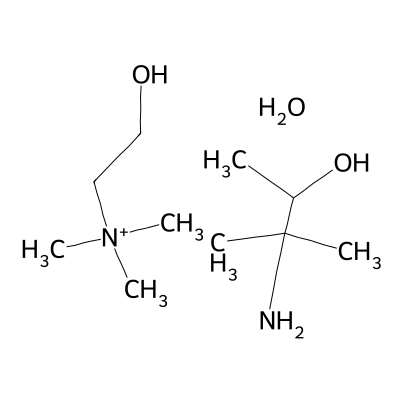 CC(O)C(C)(C)N.C[N+](C)(C)CCO.O